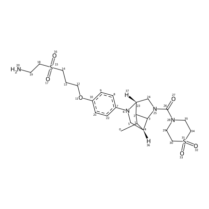 CC1C2C3[C@@H]1CN(c1ccc(OCCCS(=O)(=O)CCN)cc1)[C@@H]2CN3C(=O)N1CCS(=O)(=O)CC1